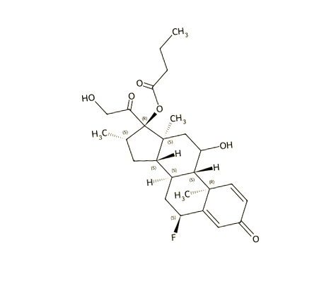 CCCC(=O)O[C@]1(C(=O)CO)[C@@H](C)C[C@H]2[C@@H]3C[C@H](F)C4=CC(=O)C=C[C@]4(C)[C@H]3C(O)C[C@@]21C